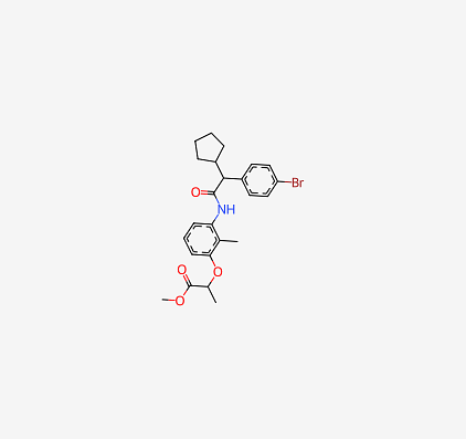 COC(=O)C(C)Oc1cccc(NC(=O)C(c2ccc(Br)cc2)C2CCCC2)c1C